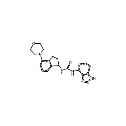 O=C(Nc1cccc2[nH]ncc12)NC1CCc2c1cccc2N1CCOCC1